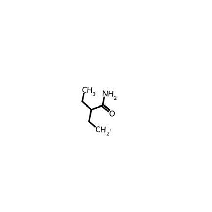 [CH2]CC(CC)C(N)=O